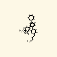 CCCCN1CCN(c2ccc(N3CCCCCC3)cc2C2CCC(C)(C)CC2)CC1